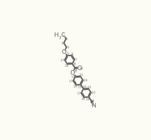 CCCCOc1ccc(C(=O)Oc2ccc(-c3ccc(C#N)cc3)cc2)cc1